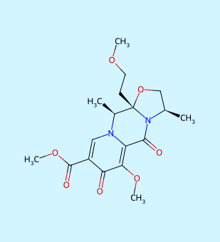 COCC[C@@]12OC[C@@H](C)N1C(=O)c1c(OC)c(=O)c(C(=O)OC)cn1[C@H]2C